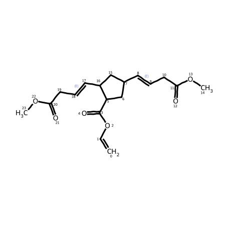 C=COC(=O)C1CC(/C=C/CC(=O)OC)CC1/C=C/CC(=O)OC